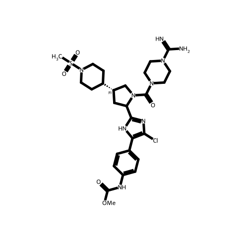 COC(=O)Nc1ccc(-c2[nH]c(C3C[C@H](C4CCN(S(C)(=O)=O)CC4)CN3C(=O)N3CCN(C(=N)N)CC3)nc2Cl)cc1